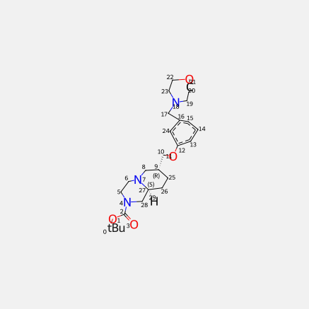 CC(C)(C)OC(=O)N1CCN2C[C@H](COc3cccc(CN4CCOCC4)c3)CC[C@H]2C1